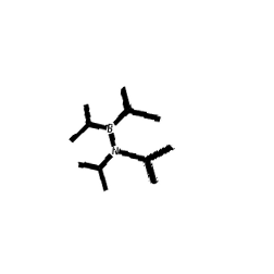 CC(C)B(C(C)C)N(C(C)C)C(C)C